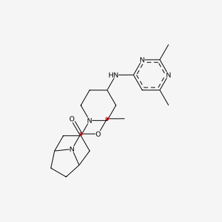 CCOC(=O)N1C2CCC1CC(N1CCC(Nc3cc(C)nc(C)n3)CC1)C2